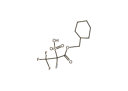 O=C(OCC1CCCCC1)C(F)(C(F)(F)F)S(=O)(=O)O